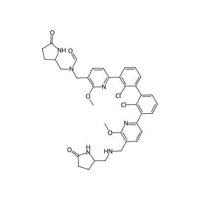 COc1nc(-c2cccc(-c3cccc(-c4ccc(CN(C=O)CC5CCC(=O)N5)c(OC)n4)c3Cl)c2Cl)ccc1CNCC1CCC(=O)N1